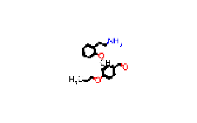 CCCOc1ccc(C=O)cc1.COc1ccccc1CCN